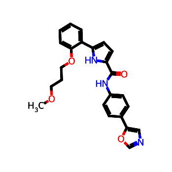 COCCCOc1ccccc1-c1ccc(C(=O)Nc2ccc(-c3cnco3)cc2)[nH]1